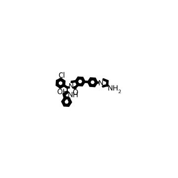 NC1CCN(c2ccc(-c3ccc4c(c3)C(=O)N([C@@H](c3cc5ccccc5[nH]3)c3cc(Cl)ccc3O)C4)cc2)C1